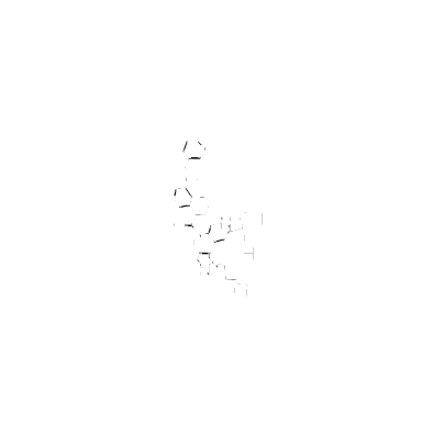 CCCCn1cc(CN(C(=O)C2CCCc3c(OCc4ccccc4)cccc32)c2ccc(C(C)C)nc2)cn1